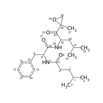 CC(C)CCC(=O)NC(Cc1ccccc1)C(=O)NC(CC(C)C)C(=O)C1(C)CO1